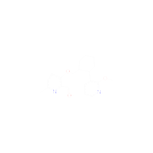 COc1ncccc1C1CCCCC1COc1ccc(C)nc1C=O